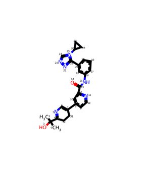 CC(C)(O)C1=NC=C(c2ccnc(C(=O)Nc3cccc(-c4nncn4C4CC4)c3)c2)CC1